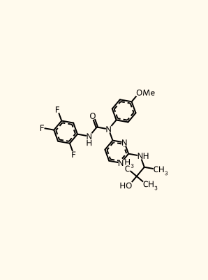 COc1ccc(N(C(=O)Nc2cc(F)c(F)cc2F)c2ccnc(NC(C)C(C)(C)O)n2)cc1